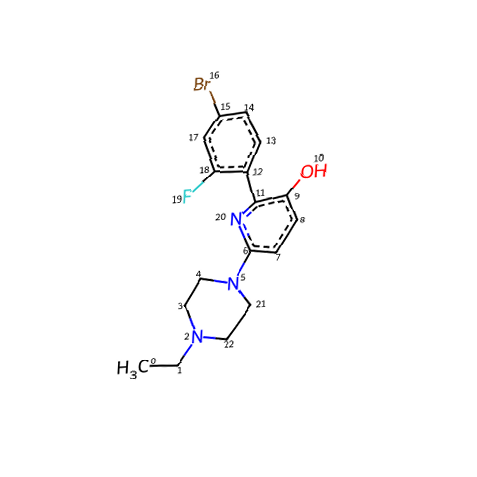 CCN1CCN(c2ccc(O)c(-c3ccc(Br)cc3F)n2)CC1